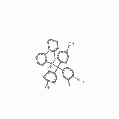 Cc1cc(C(c2ccc(O)cc2)(c2ccc(O)cc2)P2(=O)Oc3ccccc3-c3ccccc32)ccc1N